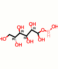 OBOC(O)[C@@H](O)[C@@H](O)[C@H](O)[C@H](O)CO